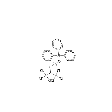 ClC(Cl)(Cl)C([O][Zn][O][Si](c1ccccc1)(c1ccccc1)c1ccccc1)C(Cl)(Cl)Cl